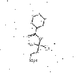 CC(CCS(=O)(=O)O)(OC(=O)C1CCCCC1)C(F)(F)F